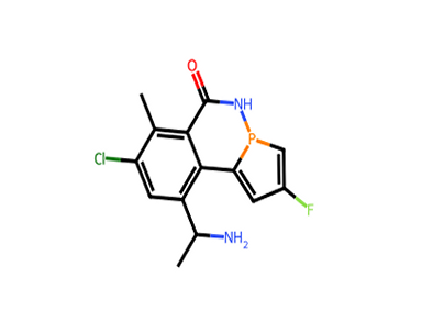 Cc1c(Cl)cc(C(C)N)c2c1c(=O)[nH]p1cc(F)cc21